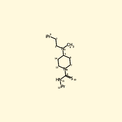 CC(C)CCN(C)C1CCN(C(=S)NC(C)C)CC1